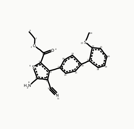 CCOC(=O)c1sc(N)c(C#N)c1-c1ccc(-c2ccccc2SC)cc1